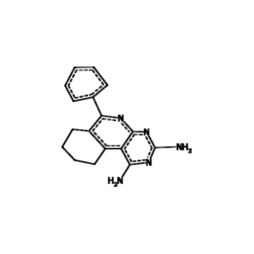 Nc1nc(N)c2c3c(c(-c4ccccc4)nc2n1)CCCC3